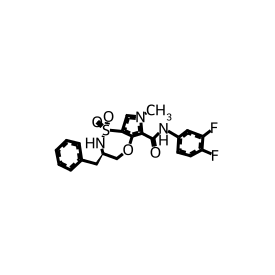 Cn1cc2c(c1C(=O)Nc1ccc(F)c(F)c1)OC[C@@H](Cc1ccccc1)NS2(=O)=O